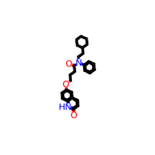 O=C(CCCOc1ccc2[nH]c(=O)ccc2c1)N(CCC1CCCCC1)c1ccccc1